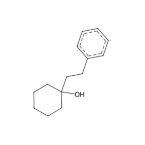 OC1(CCc2c[c]ccc2)CCCCC1